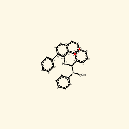 CCCCCCCCN(c1ccccc1)C(Nc1c(-c2ccccc2)ccc2ccccc12)c1ccccc1